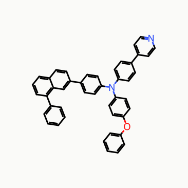 c1ccc(Oc2ccc(N(c3ccc(-c4ccncc4)cc3)c3ccc(-c4ccc5cccc(-c6ccccc6)c5c4)cc3)cc2)cc1